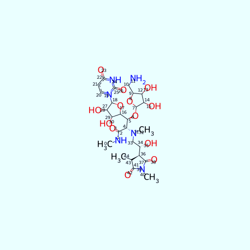 CNC(=O)[C@H]([C@H](OC1OC(CN)C(O)C1O)C1OC(n2ccc(=O)[nH]c2=O)C(O)C1O)N(C)C[C@H](O)[C@H]1C(=O)N(C)C(=O)C1C